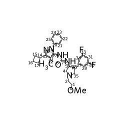 COCCN1C[C@@H](NC(=O)Nc2c(C)c(C3CCC3)nn2-c2ccccc2)[C@H](c2cc(F)cc(F)c2)C1